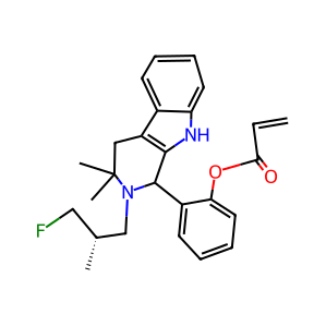 C=CC(=O)Oc1ccccc1C1c2[nH]c3ccccc3c2CC(C)(C)N1C[C@H](C)CF